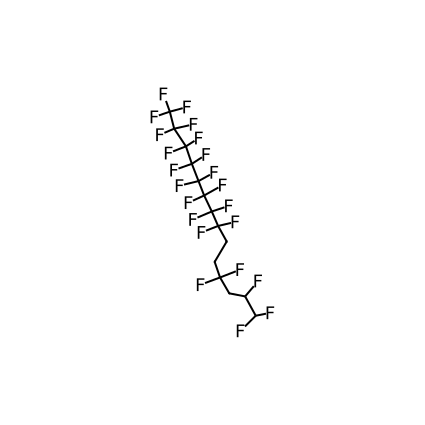 FC(F)C(F)CC(F)(F)CCC(F)(F)C(F)(F)C(F)(F)C(F)(F)C(F)(F)C(F)(F)C(F)(F)C(F)(F)F